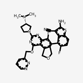 CN(C)[C@H]1CCN(c2nc(OCc3cccnn3)c3c4c(c(-c5c(F)ccc6sc(N)c(C#N)c56)c(F)c3n2)COC4)C1